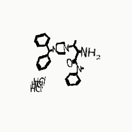 CC(C(N)C(=O)N(C)c1ccccc1)N1CCN(C(c2ccccc2)c2ccccc2)CC1.Cl.Cl.Cl